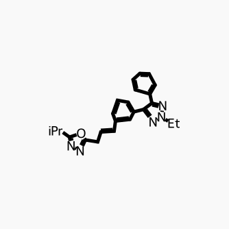 CCn1nc(-c2ccccc2)c(-c2cccc(/C=C/Cc3nnc(C(C)C)o3)c2)n1